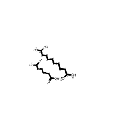 O=C(O)CCCCC(=O)O.OC(O)CCCCCCCCC(O)O